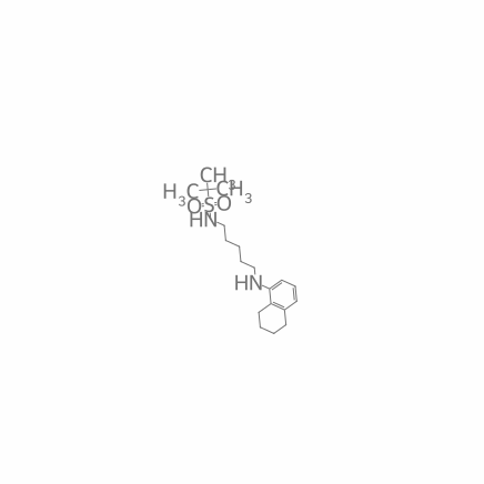 CC(C)(C)S(=O)(=O)NCCCCCNc1cccc2c1CCCC2